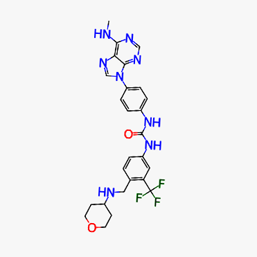 CNc1ncnc2c1ncn2-c1ccc(NC(=O)Nc2ccc(CNC3CCOCC3)c(C(F)(F)F)c2)cc1